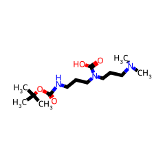 CN(C)CCCN(CCCNC(=O)OC(C)(C)C)C(=O)O